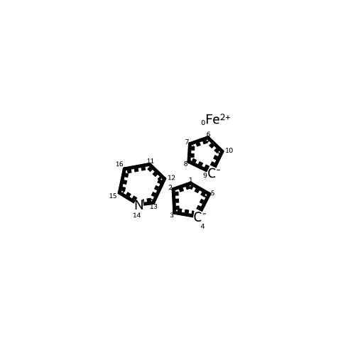 [Fe+2].c1cc[cH-]c1.c1cc[cH-]c1.c1ccncc1